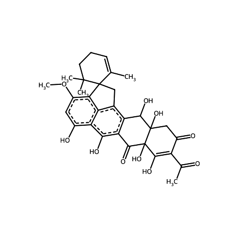 COc1cc(O)c2c(O)c3c(c4c2c1C1(C4)C(C)=CCCC1(C)C)C(O)C1(O)CC(=O)C(C(C)=O)=C(O)C1(O)C3=O